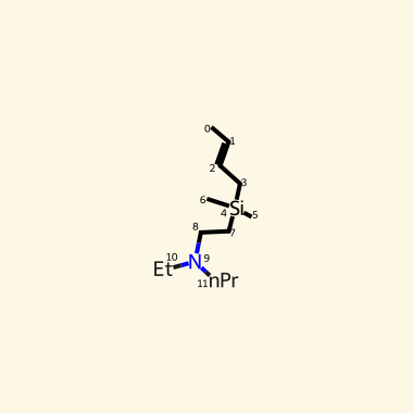 CC=CC[Si](C)(C)CCN(CC)CCC